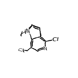 Clc1ncc(Cl)c2[nH]ccc12